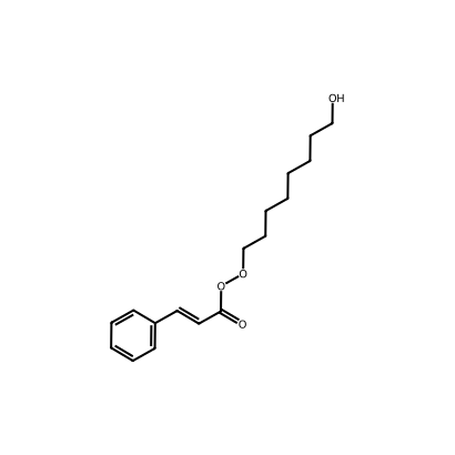 O=C(C=Cc1ccccc1)OOCCCCCCCCO